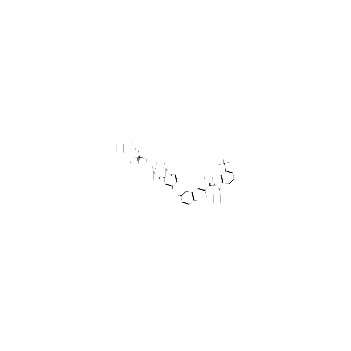 CC(C)(C)c1cccc(NC(=O)C2=Cc3cc(Oc4ccnc(NC(=O)OC[C@H](O)CO)c4)ccc3OC2)c1